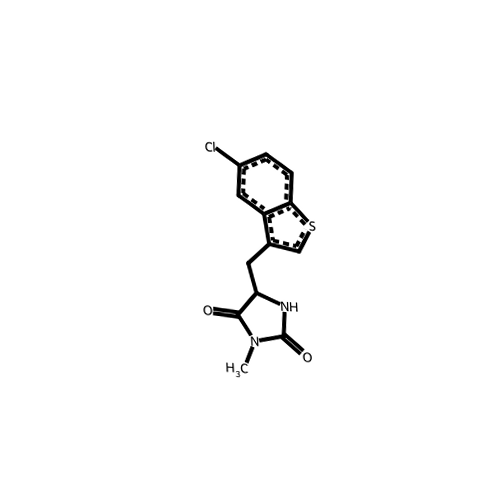 CN1C(=O)NC(Cc2csc3ccc(Cl)cc23)C1=O